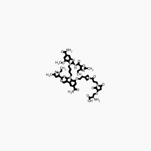 CCc1nc(C)oc1C(=O)Nc1nc2cc(C(N)=O)cc(OC)c2n1C/C=C/Cn1c2nc(-c3cc(C)nn3CC)ncc2c2cc(C(N)=O)cc(OCCC3CN(C(=O)CCN4C(=O)CC(SC[C@H](N)C(=O)O)C4=O)C3)c21